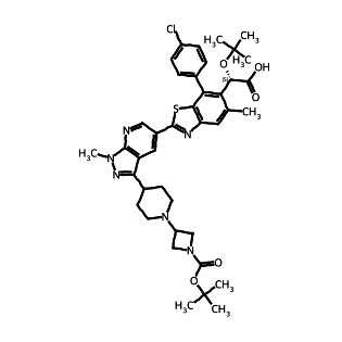 Cc1cc2nc(-c3cnc4c(c3)c(C3CCN(C5CN(C(=O)OC(C)(C)C)C5)CC3)nn4C)sc2c(-c2ccc(Cl)cc2)c1[C@H](OC(C)(C)C)C(=O)O